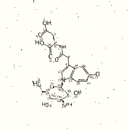 O=C(O)C[C@@H](NC(=O)Cc1cn([C@@H]2O[C@H](CO)[C@@H](O)[C@H](O)[C@H]2O)c2ccc(Cl)cc12)C(=O)O